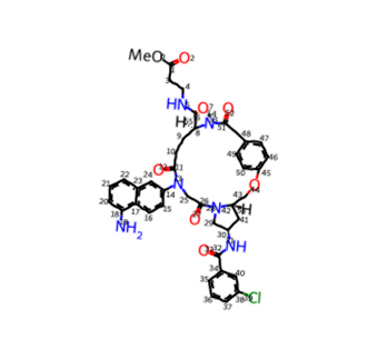 COC(=O)CCNC(=O)[C@@H]1CCC(=O)N(c2ccc3c(N)cccc3c2)CC(=O)N2C[C@H](NC(=O)c3cccc(Cl)c3)C[C@H]2COc2ccc(cc2)C(=O)N1C